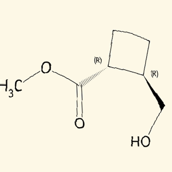 COC(=O)[C@@H]1CC[C@H]1CO